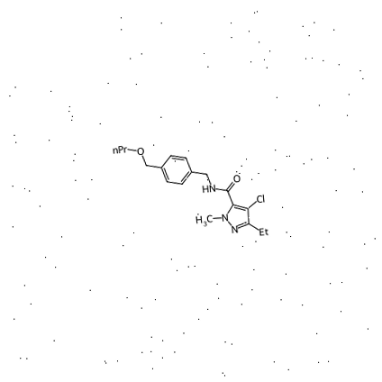 CCCOCc1ccc(CNC(=O)c2c(Cl)c(CC)nn2C)cc1